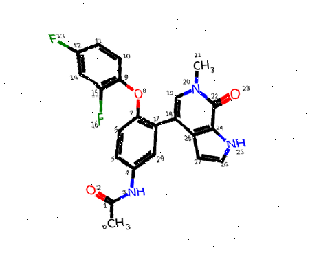 CC(=O)Nc1ccc(Oc2ccc(F)cc2F)c(-c2cn(C)c(=O)c3[nH]ccc23)c1